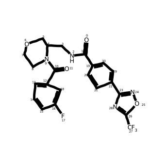 O=C(NCC1COCCN1C(=O)c1cccc(F)c1)c1ccc(-c2noc(C(F)(F)F)n2)cc1